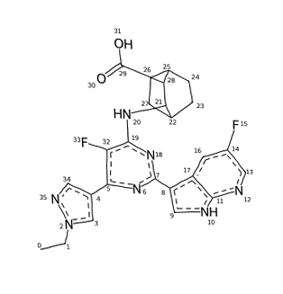 CCn1cc(-c2nc(-c3c[nH]c4ncc(F)cc34)nc(NC3C4CCC(CC4)C3C(=O)O)c2F)cn1